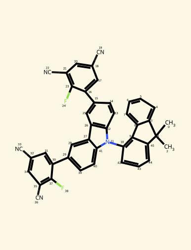 CC1(C)c2ccccc2-c2c(-n3c4ccc(-c5cc(C#N)cc(C#N)c5F)cc4c4cc(-c5cc(C#N)cc(C#N)c5F)ccc43)cccc21